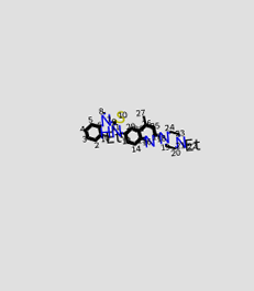 CCc1ccccc1N(C)C(=S)Nc1ccc2nc(N3CCN(CC)CC3)cc(C)c2c1